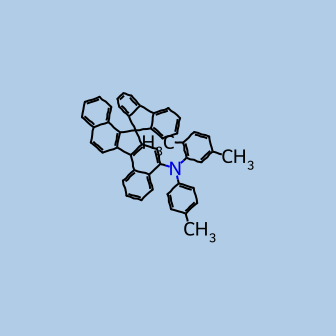 Cc1ccc(N(c2cc(C)ccc2C)c2cc3c(c4ccccc24)-c2ccc4ccccc4c2C32c3ccccc3-c3ccccc32)cc1